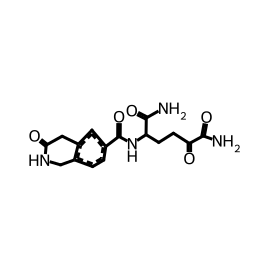 NC(=O)C(=O)CCC(NC(=O)c1ccc2c(c1)CC(=O)NC2)C(N)=O